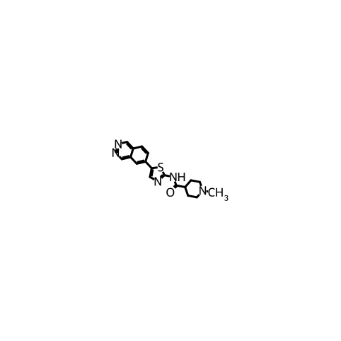 CN1CCC(C(=O)Nc2ncc(-c3ccc4cnncc4c3)s2)CC1